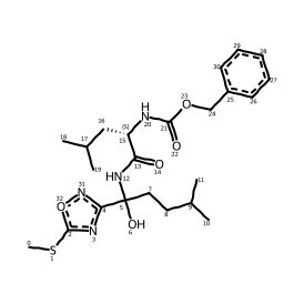 CSc1nc(C(O)(CCC(C)C)NC(=O)[C@H](CC(C)C)NC(=O)OCc2ccccc2)no1